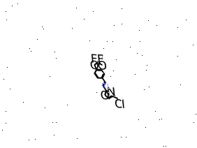 FC1(F)Oc2ccc(/C=C/c3nc(CCl)co3)cc2O1